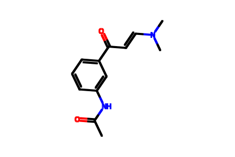 CC(=O)Nc1cccc(C(=O)/C=C/N(C)C)c1